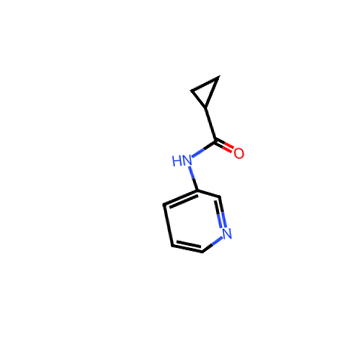 O=C(Nc1cccnc1)C1CC1